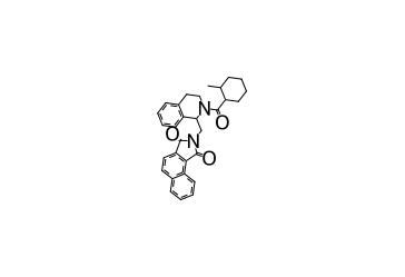 CC1CCCCC1C(=O)N1CCc2ccccc2C1CN1C(=O)c2ccc3ccccc3c2C1=O